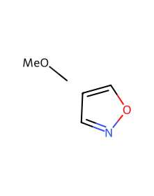 COC.c1cnoc1